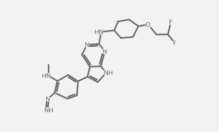 CNc1cc(-c2c[nH]c3nc(NC4CCC(OCC(F)F)CC4)ncc23)ccc1N=N